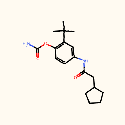 CC(C)(C)c1cc(NC(=O)CC2CCCC2)ccc1OC(N)=O